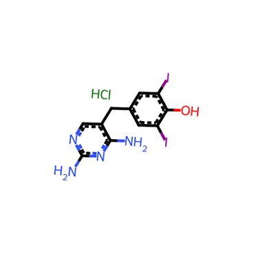 Cl.Nc1ncc(Cc2cc(I)c(O)c(I)c2)c(N)n1